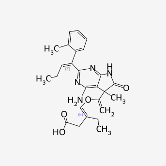 C=C(O/C=C(\CC)CC(=O)O)C1(C)C(=O)Nc2nc(/C(=C\CC)c3ccccc3C)nc(N)c21